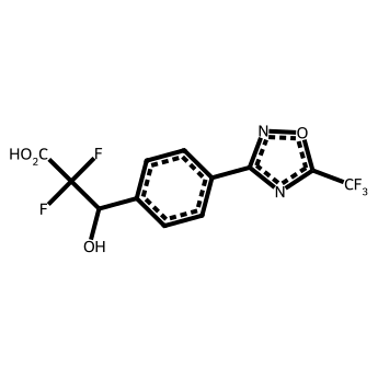 O=C(O)C(F)(F)C(O)c1ccc(-c2noc(C(F)(F)F)n2)cc1